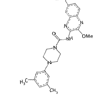 COc1ccc2nc(OC)c(NC(=O)N3CCN(c4cc(C)cc(C)c4)CC3)nc2c1